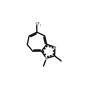 Cc1nc2c(n1C)=CCC=C(C(F)(F)F)C=2